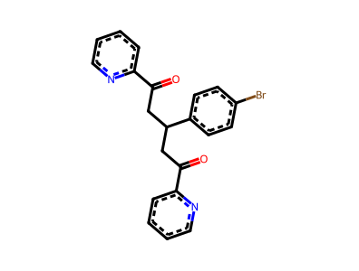 O=C(CC(CC(=O)c1ccccn1)c1ccc(Br)cc1)c1ccccn1